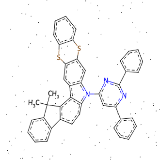 CC1(C)c2ccccc2-c2ccc3c(c21)c1cc2c(cc1n3-c1cc(-c3ccccc3)nc(-c3ccccc3)n1)Sc1ccccc1S2